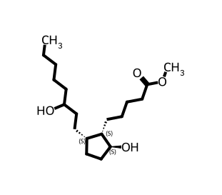 CCCCCC(O)CC[C@H]1CC[C@H](O)[C@H]1CCCCC(=O)OC